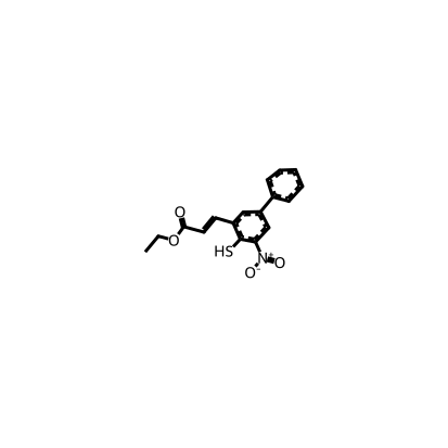 CCOC(=O)/C=C/c1cc(-c2ccccc2)cc([N+](=O)[O-])c1S